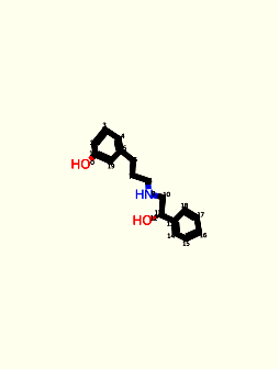 Oc1cccc(CCCNC[C@H](O)c2ccccc2)c1